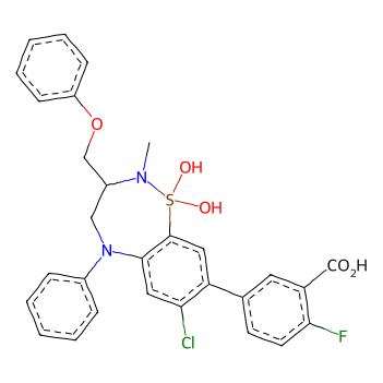 CN1C(COc2ccccc2)CN(c2ccccc2)c2cc(Cl)c(-c3ccc(F)c(C(=O)O)c3)cc2S1(O)O